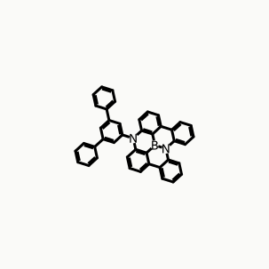 c1ccc(-c2cc(-c3ccccc3)cc(N3c4cccc5c4B4c6c(cccc63)-c3ccccc3N4c3ccccc3-5)c2)cc1